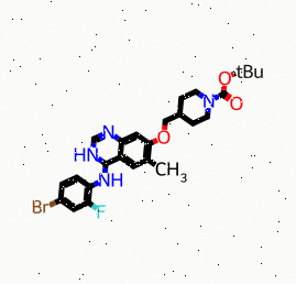 Cc1cc2c(cc1OCC1CCN(C(=O)OC(C)(C)C)CC1)N=CNC2Nc1ccc(Br)cc1F